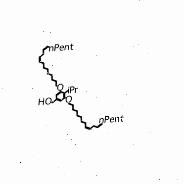 CCCCC/C=C\C/C=C\CCCCCCCCOc1cc(CO)cc(OCCCCCCCC/C=C\C/C=C\CCCCC)c1C(C)C